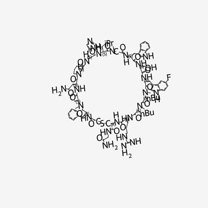 CCCC[C@H]1C(=O)N(C)[C@@H](CCCC)C(=O)N[C@@H](CCCNC(=N)N)C(=O)N[C@H](C(=O)NCC(N)=O)CSCC(=O)N[C@@H](Cc2ccccc2)C(=O)N(C)[C@@H](C)C(=O)N[C@@H](CC(N)=O)C(=O)N2CCC[C@H]2C(=O)N[C@@H](Cc2cnc[nH]2)C(=O)N[C@@H](CC(C)C)C(=O)N(C)CC(=O)N[C@@H](Cc2c[nH]c3ccccc23)C(=O)N[C@@H](CO)C(=O)N[C@@H](Cc2c[nH]c3ccc(F)cc23)C(=O)N1C